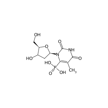 Cc1c(P(=O)(O)O)n([C@H]2CC(O)[C@@H](CO)O2)c(=O)[nH]c1=O